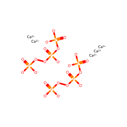 O=P([O-])([O-])OOP(=O)([O-])OP(=O)([O-])[O-].O=P([O-])([O-])OOP(=O)([O-])OP(=O)([O-])[O-].[Ca+2].[Ca+2].[Ca+2].[Ca+2].[Ca+2]